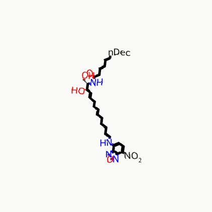 CCCCCCCCCCCCCCCC(=O)N[C@@H](CO)[C@H](O)/C=C/CCCCCCCCCNc1ccc([N+](=O)[O-])c2nonc12